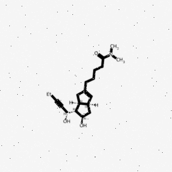 CCC#C[C@@H](O)[C@@H]1[C@H]2CC(CCCCC(=O)N(C)C)=C[C@H]2C[C@H]1O